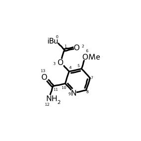 CCC(C)C(=O)Oc1c(OC)ccnc1C(N)=O